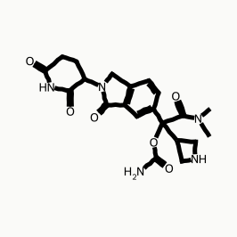 CN(C)C(=O)C(OC(N)=O)(c1ccc2c(c1)C(=O)N(C1CCC(=O)NC1=O)C2)C1CNC1